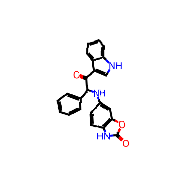 O=C(c1c[nH]c2ccccc12)C(Nc1ccc2[nH]c(=O)oc2c1)c1ccccc1